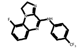 Fc1cccc2c1N1CCN=C1C(Nc1ccc(C(F)(F)F)cc1)=N2